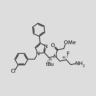 COCC(=O)N(C[C@H](F)CN)[C@@H](c1nc(-c2ccccc2)cn1Cc1cccc(Cl)c1)C(C)(C)C